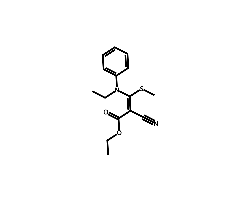 CCOC(=O)C(C#N)=C(SC)N(CC)c1ccccc1